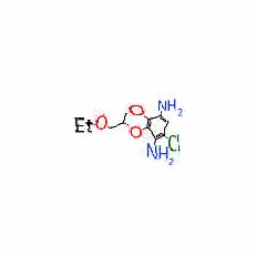 CCOCC1COc2c(N)cc(Cl)c(N)c2O1